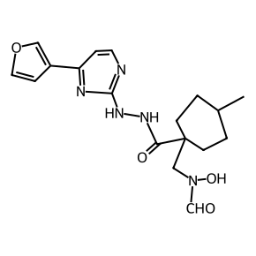 CC1CCC(CN(O)C=O)(C(=O)NNc2nccc(-c3ccoc3)n2)CC1